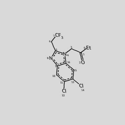 CCC(=O)Cn1c(CC(F)(F)F)nc2cc(Cl)c(Cl)cc21